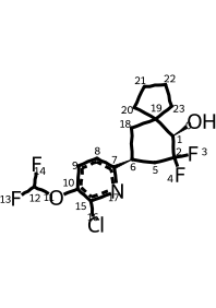 O[C@H]1C(F)(F)C[C@@H](c2ccc(OC(F)F)c(Cl)n2)CC12CCCC2